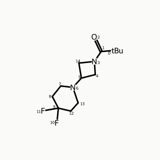 CC(C)(C)C(=O)N1CC(N2CCC(F)(F)CC2)C1